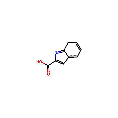 O=C(O)C1=CC2=CC=CCC2=N1